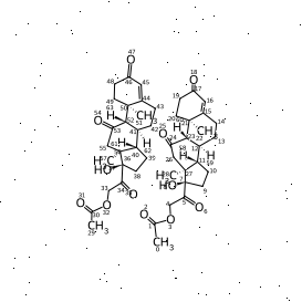 CC(=O)OCC(=O)[C@@]1(O)CC[C@H]2[C@@H]3CCC4=CC(=O)CC[C@]4(C)[C@H]3C(=O)C[C@@]21C.CC(=O)OCC(=O)[C@@]1(O)CC[C@H]2[C@@H]3CCC4=CC(=O)CC[C@]4(C)[C@H]3C(=O)C[C@@]21C